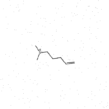 C=CCCC[SiH](C)C